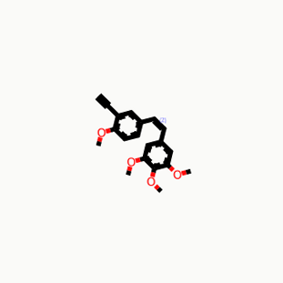 C#Cc1cc(/C=C\c2cc(OC)c(OC)c(OC)c2)ccc1OC